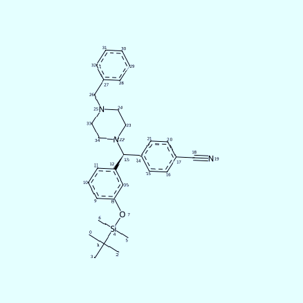 CC(C)(C)[Si](C)(C)Oc1cccc([C@H](c2ccc(C#N)cc2)N2CCN(Cc3ccccc3)CC2)c1